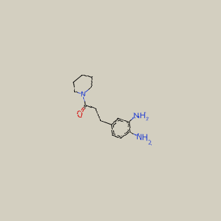 Nc1ccc(CCC(=O)N2CCCCC2)cc1N